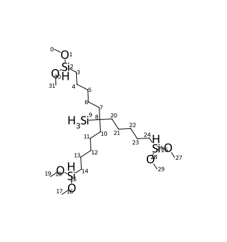 CO[SiH](CCCCCC([SiH3])(CCCCC[SiH](OC)OC)CCCCC[SiH](OC)OC)OC